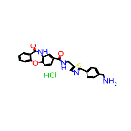 Cl.NCc1ccc(-c2ncc(CNC(=O)c3ccc4c(c3)NC(=O)c3ccccc3O4)s2)cc1